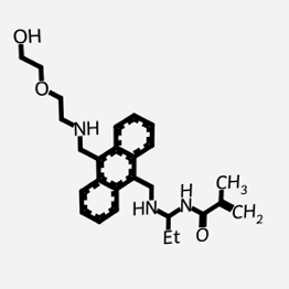 C=C(C)C(=O)NC(CC)NCc1c2ccccc2c(CNCCOCCO)c2ccccc12